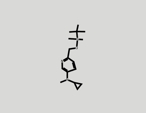 CN(c1ccc(CO[Si](C)(C)C(C)(C)C)nc1)C1CC1